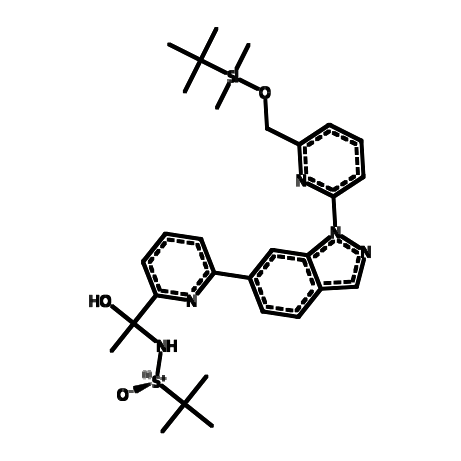 CC(O)(N[S@+]([O-])C(C)(C)C)c1cccc(-c2ccc3cnn(-c4cccc(CO[Si](C)(C)C(C)(C)C)n4)c3c2)n1